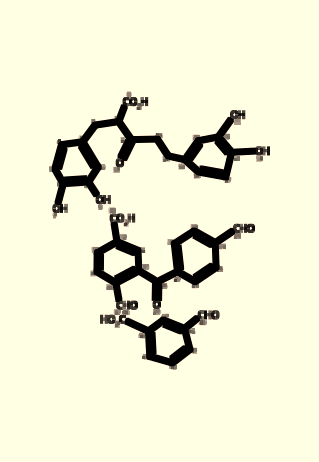 O=C(O)C(Cc1ccc(O)c(O)c1)C(=O)CCc1ccc(O)c(O)c1.O=Cc1ccc(C(=O)c2cc(C(=O)O)ccc2C=O)cc1.O=Cc1cccc(C(=O)O)c1